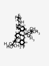 CC(C)(O)C#Cc1ccc(-c2cccn3c(NCC(F)(F)F)nnc23)c(C(Cc2cc(F)cc(F)c2)NC(=O)OC(C)(C)C)n1